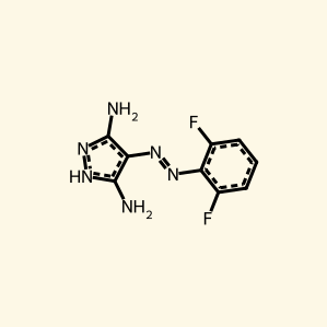 Nc1n[nH]c(N)c1N=Nc1c(F)cccc1F